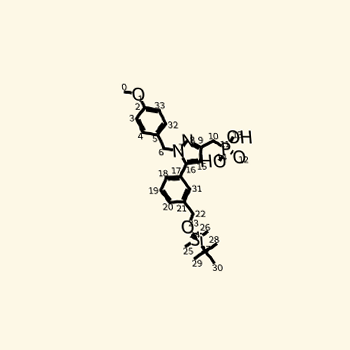 COc1ccc(Cn2nc(CP(=O)(O)O)cc2-c2cccc(CO[Si](C)(C)C(C)(C)C)c2)cc1